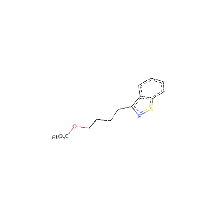 CCOC(=O)OCCCCc1nsc2ccccc12